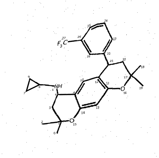 CC1(C)CC(NC2CC2)c2cc3c(cc2O1)OC(C)(C)CC3c1cccc(C(F)(F)F)c1